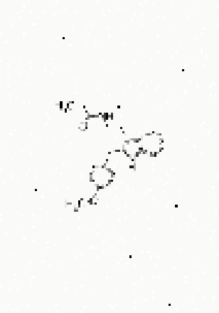 CCC(=O)NCCc1c(Cc2ccc(OC)cc2)[nH]c2ccccc12